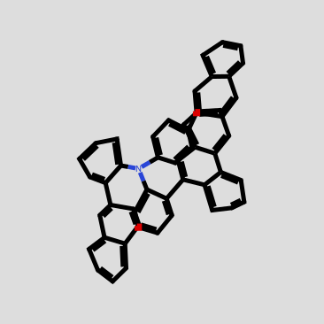 c1ccc(N(c2ccc(-c3ccc4ccccc4c3)cc2)c2ccccc2-c2cc3ccccc3c3ccccc23)c(-c2ccc3ccccc3c2)c1